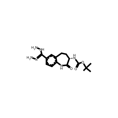 CC(C)(C)OC(=O)N[C@H]1CCc2cc(/C(=N/N)NN)ccc2NC1=O